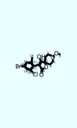 CON1CCC2(CC1)OC(=O)C(c1c(C)cc(Br)cc1Cl)=C2O